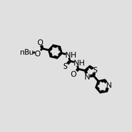 CCCCOC(=O)c1ccc(NC(=S)NC(=O)c2csc(-c3cccnc3)n2)cc1